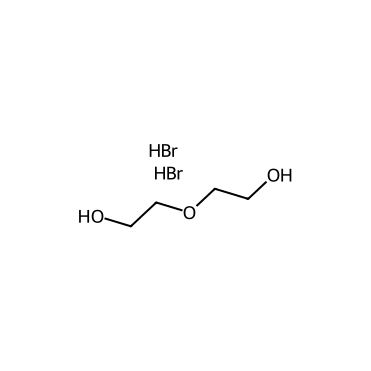 Br.Br.OCCOCCO